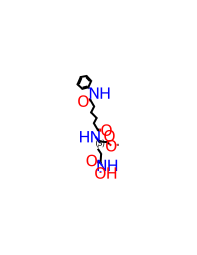 COC(=O)[C@H](CCC(=O)NO)NC(=O)CCCCC(=O)Nc1ccccc1